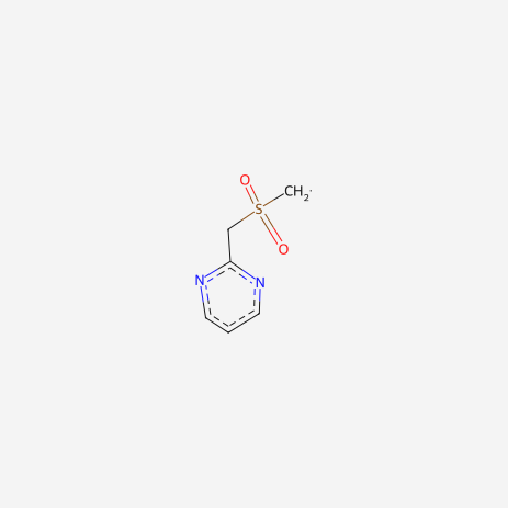 [CH2]S(=O)(=O)Cc1ncccn1